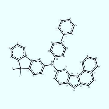 CC1(C)c2ccccc2-c2cc(N(c3ccc(-c4ccccc4)cc3)c3ccc4sc5ccc6ccccc6c5c4n3)ccc21